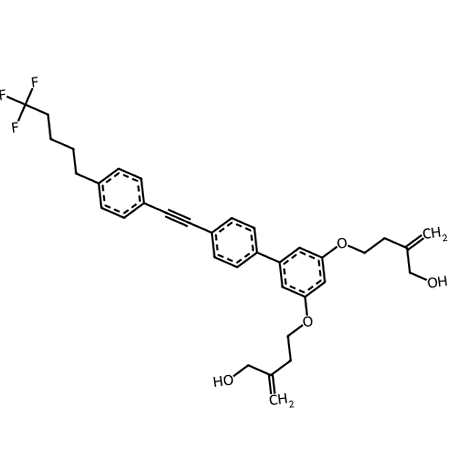 C=C(CO)CCOc1cc(OCCC(=C)CO)cc(-c2ccc(C#Cc3ccc(CCCCC(F)(F)F)cc3)cc2)c1